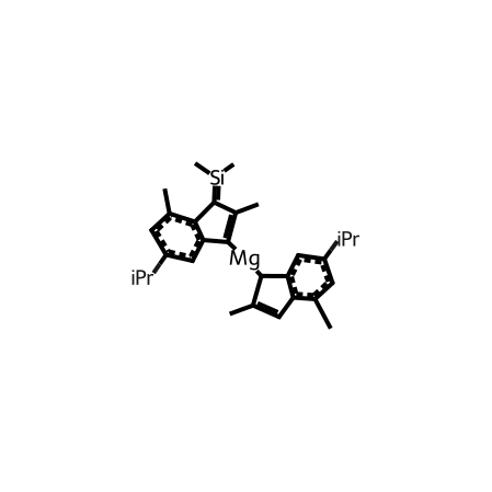 CC1=Cc2c(C)cc(C(C)C)cc2[CH]1[Mg][C]1=C(C)C(=[Si](C)C)c2c(C)cc(C(C)C)cc21